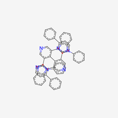 c1ccc(-c2ccccc2-c2cncc(-c3nc4ccccc4n3-c3ccccc3)c2-c2c(-c3ccccc3-c3ccccc3)cncc2-c2nc3ccccc3n2-c2ccccc2)cc1